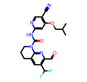 CC(C)COc1cc(NC(=O)N2CCCc3cc(C(F)F)c(C=O)nc32)ncc1C#N